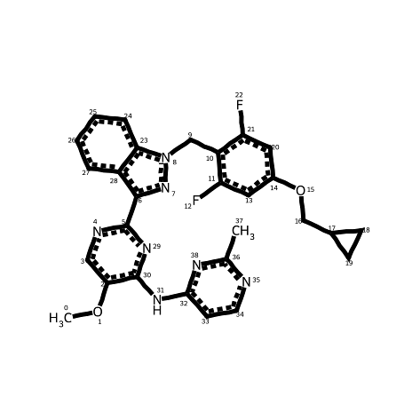 COc1cnc(-c2nn(Cc3c(F)cc(OCC4CC4)cc3F)c3ccccc23)nc1Nc1ccnc(C)n1